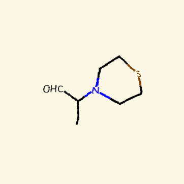 CC(C=O)N1CCSCC1